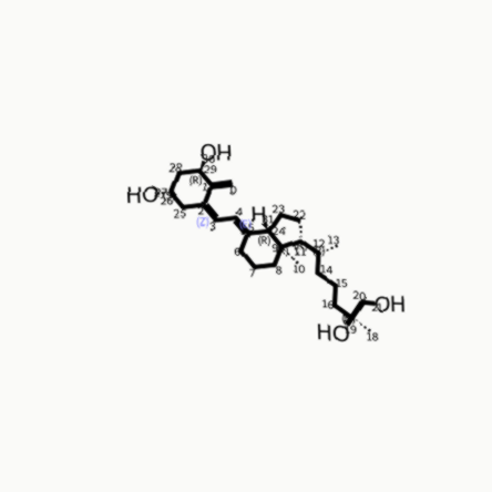 C=C1/C(=C\C=C2/CCC[C@]3(C)[C@@H]([C@H](C)CCC[C@](C)(O)CO)CC[C@@H]23)C[C@H](O)C[C@H]1O